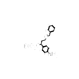 CCOC(=O)C(CCOCc1ccccc1)c1ccc(N)cc1